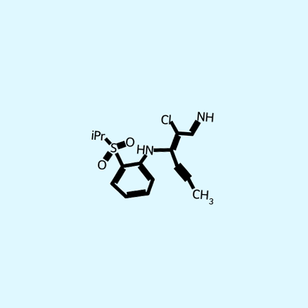 CC#C/C(Nc1ccccc1S(=O)(=O)C(C)C)=C(/Cl)C=N